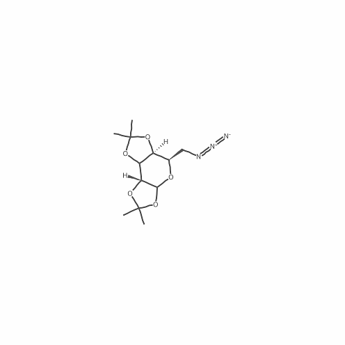 CC1(C)OC2O[C@H](CN=[N+]=[N-])[C@@H]3OC(C)(C)OC3[C@H]2O1